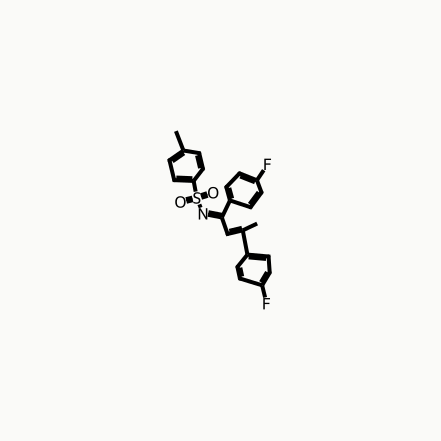 C/C(=C\C(=N\S(=O)(=O)c1ccc(C)cc1)c1ccc(F)cc1)c1ccc(F)cc1